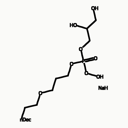 CCCCCCCCCCCCOCCCOP(=O)(OO)OCC(O)CO.[NaH]